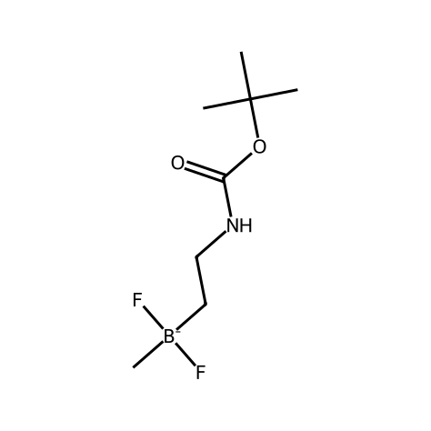 C[B-](F)(F)CCNC(=O)OC(C)(C)C